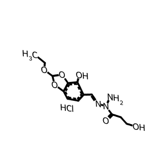 CCOC1Oc2ccc(/C=N/N(N)C(=O)CCO)c(O)c2O1.Cl